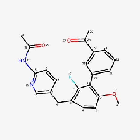 COc1ccc(Cc2ccc(NC(C)=O)nc2)c(F)c1-c1cccc(C(C)=O)c1